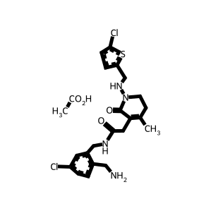 CC(=O)O.CC1=C(CC(=O)NCc2cc(Cl)ccc2CN)C(=O)N(NCc2ccc(Cl)s2)CC1